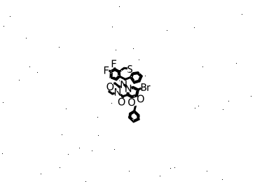 O=C1c2c(OCc3ccccc3)c(=O)c(Br)cn2N(C2c3ccccc3SCc3c2ccc(F)c3F)C2COCCN12